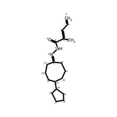 C=C/C=C(\C)C(=O)NN=C1CCCC(C2CCCC2)CCC1